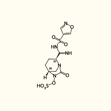 N=C(NS(=O)(=O)c1cnoc1)[C@@H]1CC[C@@H]2CN1C(=O)N2OS(=O)(=O)O